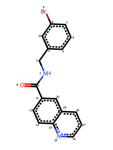 O=C(NCc1cccc(Br)c1)c1ccc2ncccc2c1